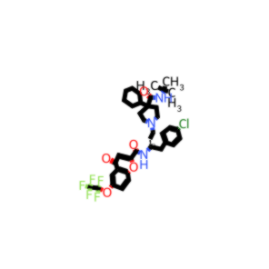 CC(C)(C)NC(=O)C1(C2CCCCC2)CCN(CC[C@H](Cc2ccc(Cl)cc2)NC(=O)c2cc(=O)c3cc(OC(F)(F)C(F)(F)F)ccc3o2)CC1